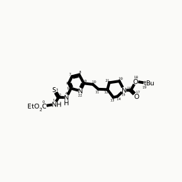 CCOC(=O)NC(=S)Nc1cccc(CCC2CCN(C(=O)OC(C)(C)C)CC2)n1